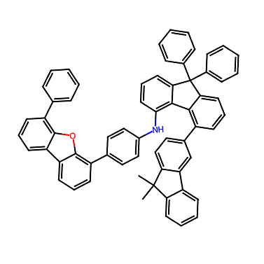 CC1(C)c2ccccc2-c2cc(-c3cccc4c3-c3c(Nc5ccc(-c6cccc7c6oc6c(-c8ccccc8)cccc67)cc5)cccc3C4(c3ccccc3)c3ccccc3)ccc21